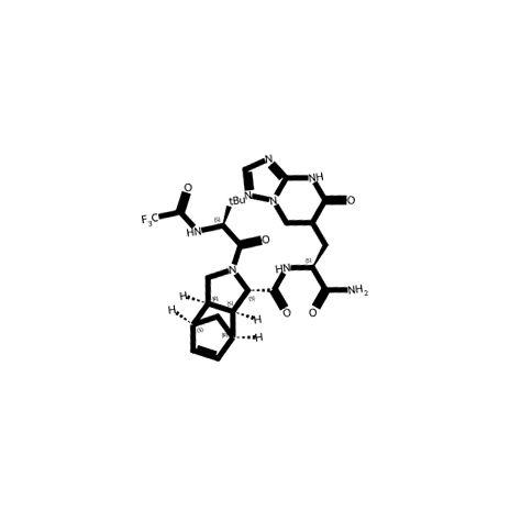 CC(C)(C)[C@H](NC(=O)C(F)(F)F)C(=O)N1C[C@H]2[C@@H]([C@H]1C(=O)N[C@@H](CC1Cn3ncnc3NC1=O)C(N)=O)[C@H]1C=C[C@@H]2C1